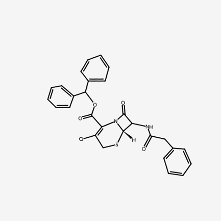 O=C(Cc1ccccc1)NC1C(=O)N2C(C(=O)OC(c3ccccc3)c3ccccc3)=C(Cl)CS[C@@H]12